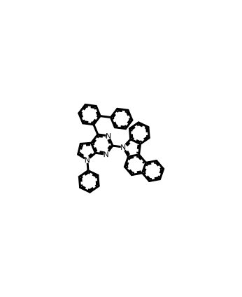 c1ccc(-c2ccccc2-c2nc(-n3c4ccccc4c4c5ccccc5ccc43)nc3c2ccn3-c2ccccc2)cc1